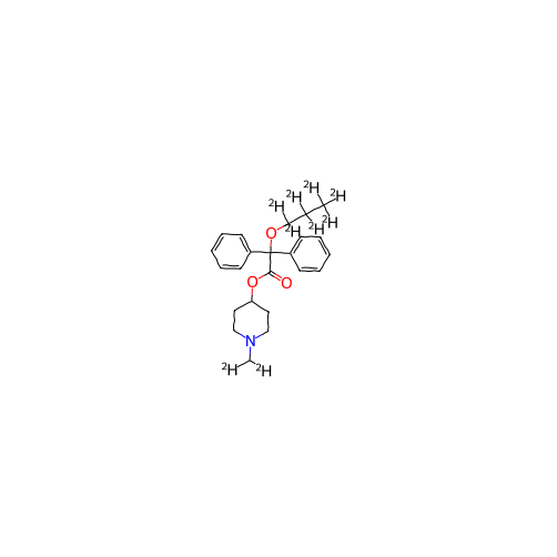 [2H]C([2H])N1CCC(OC(=O)C(OC([2H])([2H])C([2H])([2H])C([2H])([2H])[2H])(c2ccccc2)c2ccccc2)CC1